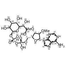 COC1[C@@H](OC)[C@@H](COP(=O)(O)OP(=O)(O)O[C@@H]2OC([C@H](O)CO)[C@@H](O)[C@H](O)C2O)O[C@H]1n1cnc2c(N)ncnc21